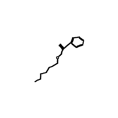 C=C(COCCCCCC)c1ccccc1